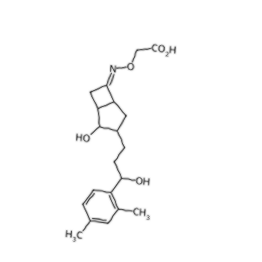 Cc1ccc(C(O)CCC2CC3C(=NOCC(=O)O)CC3C2O)c(C)c1